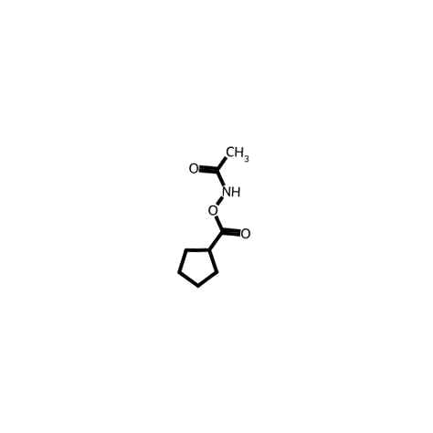 CC(=O)NOC(=O)C1CCCC1